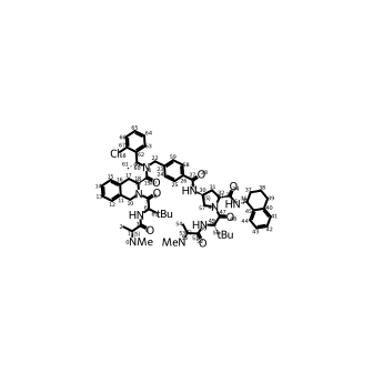 CN[C@@H](C)C(=O)NC(C(=O)N1Cc2ccccc2C[C@H]1C(=O)N(Cc1ccc(C(=O)N[C@H]2C[C@@H](C(=O)N[C@@H]3CCCc4ccccc43)N(C(=O)[C@@H](NC(=O)[C@H](C)NC)C(C)(C)C)C2)cc1)[C@H](C)c1ccccc1Cl)C(C)(C)C